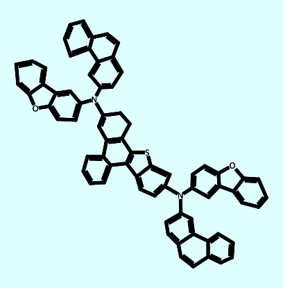 C1=C(N(c2ccc3ccc4ccccc4c3c2)c2ccc3oc4ccccc4c3c2)CCc2c1c1ccccc1c1c2sc2cc(N(c3ccc4ccc5ccccc5c4c3)c3ccc4oc5ccccc5c4c3)ccc21